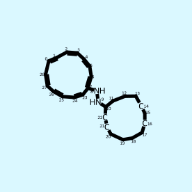 c1ccccccc(NNC2CCCCCCCCCCCC2)cccccc1